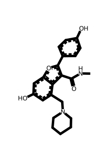 CNC(=O)c1c(-c2ccc(O)cc2)oc2cc(O)cc(CN3CCCCC3)c12